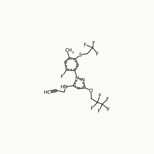 C#CCNc1cc(OCC(F)(F)C(F)(F)F)nn1-c1cc(SCC(F)(F)F)c(C)cc1F